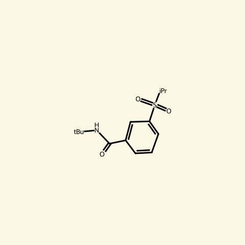 CC(C)S(=O)(=O)c1cccc(C(=O)NC(C)(C)C)c1